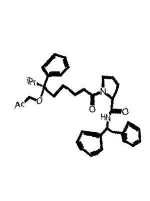 CC(=O)CO[C@@](CCCCC(=O)N1CCCC1C(=O)NC(c1ccccc1)c1ccccc1)(c1ccccc1)C(C)C